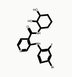 O=C(NC1CCCC(O)C1O)c1ccncc1Nc1ccc(Br)cc1F